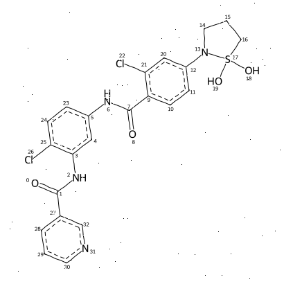 O=C(Nc1cc(NC(=O)c2ccc(N3CCCS3(O)O)cc2Cl)ccc1Cl)c1cccnc1